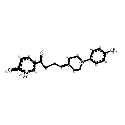 O=C(CCC=C1CCN(c2ccc(C(F)(F)F)cc2)CC1)c1ccc(=O)[nH]c1